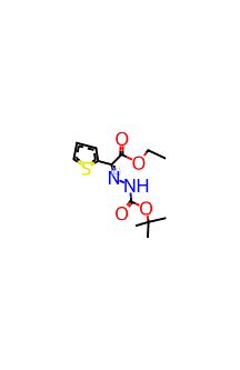 CCOC(=O)/C(=N\NC(=O)OC(C)(C)C)c1cccs1